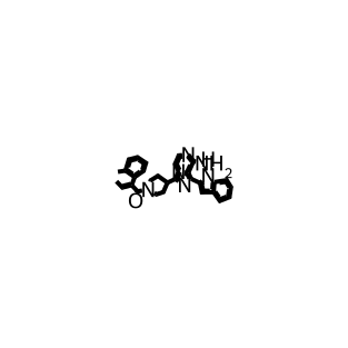 C/C=C(/C(=O)N1CCC(c2nc(-c3cc4ccccc4[nH]3)c3c(N)nccn23)CC1)c1ccccc1C